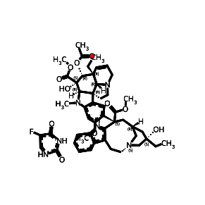 CC[C@]1(O)C[C@@H]2C[N@@](CCc3c([nH]c4ccccc34)[C@@](C(=O)OC)(c3cc4c(cc3OC)N(C)[C@H]3[C@@](O)(C(=O)OC)[C@H](OC(C)=O)[C@]5(CC)C=CCN6CC[C@]43[C@@H]65)C2)C1.O=c1[nH]cc(F)c(=O)[nH]1